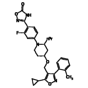 CCCC1CC(OCc2c(-c3ccccc3C)noc2C2CC2)CCN1c1ccc(-c2noc(=O)[nH]2)c(F)c1